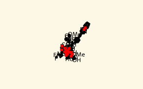 COC(=O)N[C@H](C(=O)N[C@@H](Cc1ccc(C#Cc2cnc(N3CC4CCC(C3)N4C3COC3)nc2)cc1)[C@H](CN(Cc1c(F)cc(-c2ccn(C(F)F)n2)cc1F)NC(=O)[C@@H](NC(=O)OC)C(C)(C)C(F)(F)F)OC(=O)CC(C)(C)c1c(CC(=O)N2CC[C@@H](C(=O)O)C2)cc(C)cc1OP(=O)(O)O)C(C)(C)C(F)(F)F